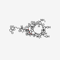 CC[C@H](C)[C@@H]1NC(=O)CNC(=O)[C@@H]2Cc3c([nH]c4c(CSCCNC(=O)CCCC(=O)ON5C(=O)CCC5=O)c(OC)ccc34)[S+]([O-])C[C@H](NC(=O)CNC1=O)C(=O)N[C@@H](CC(N)=O)C(=O)N1C[C@H](O)C[C@H]1C(=O)N[C@@H]([C@@H](C)[C@@H](O)CO)C(=O)N2